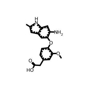 COc1cc(CC(=O)O)ccc1Oc1cc2cc(C)[nH]c2cc1N